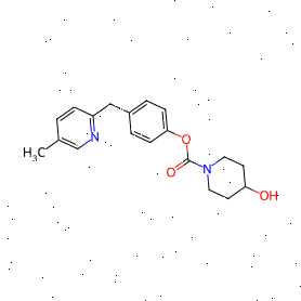 Cc1ccc(Cc2ccc(OC(=O)N3CCC(O)CC3)cc2)nc1